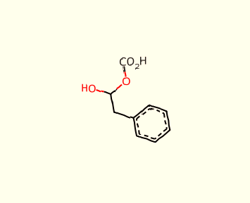 O=C(O)OC(O)Cc1ccccc1